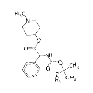 CN1CCC(OC(=O)C(NC(=O)OC(C)(C)C)c2ccccc2)CC1